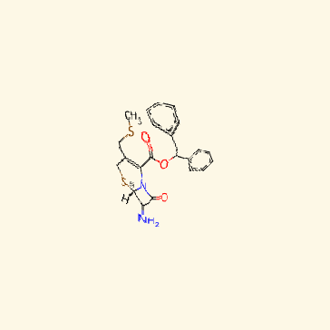 CSCC1=C(C(=O)OC(c2ccccc2)c2ccccc2)N2C(=O)C(N)[C@@H]2SC1